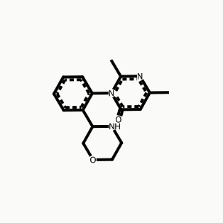 Cc1cc(=O)n(-c2ccccc2C2COCCN2)c(C)n1